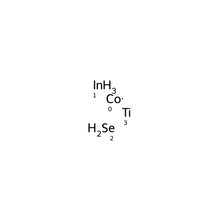 [Co].[InH3].[SeH2].[Ti]